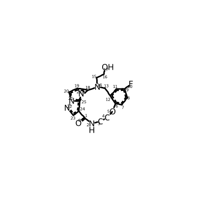 O=C1NCCOc2ccc(F)cc2CN(CCO)c2ccn3ncc1c3n2